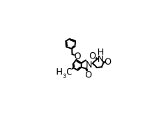 Cc1cc(OCc2ccccc2)c2c(c1)C(=O)N(C1CCC(=O)NC1=O)C2